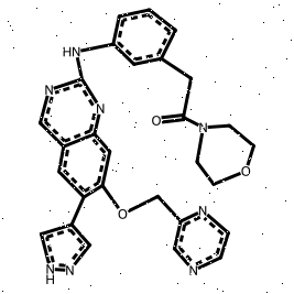 O=C(Cc1cccc(Nc2ncc3cc(-c4cn[nH]c4)c(OCc4cnccn4)cc3n2)c1)N1CCOCC1